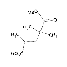 COC(=O)C(C)(C)CC(C)C(=O)O